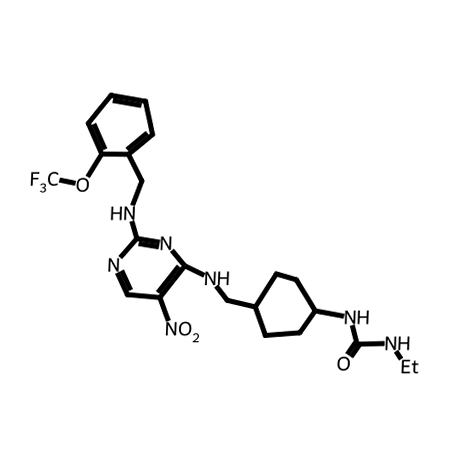 CCNC(=O)NC1CCC(CNc2nc(NCc3ccccc3OC(F)(F)F)ncc2[N+](=O)[O-])CC1